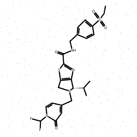 CCS(=O)(=O)c1ccc(CNC(=O)c2nc3c(s2)CN(Cc2ccn(C(F)F)c(=O)c2)[C@H]3C(C)C)cc1